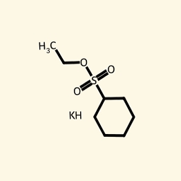 CCOS(=O)(=O)C1CCCCC1.[KH]